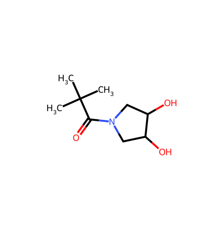 CC(C)(C)C(=O)N1CC(O)C(O)C1